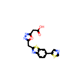 O=C(O)Cc1nnc(Cc2nc3ccc(-c4cncs4)cc3s2)o1